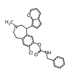 CN1CCc2cc(Cl)c(OC(=O)NCc3ccccc3)cc2C(c2ccc3cccoc2-3)C1